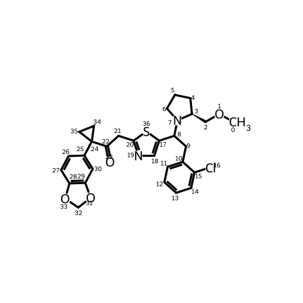 COC[C@@H]1CCCN1C(Cc1ccccc1Cl)c1cnc(CC(=O)C2(c3ccc4c(c3)OCO4)CC2)s1